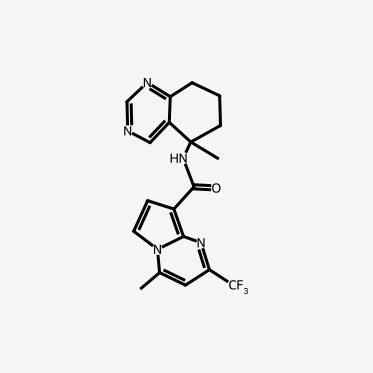 Cc1cc(C(F)(F)F)nc2c(C(=O)NC3(C)CCCc4ncncc43)ccn12